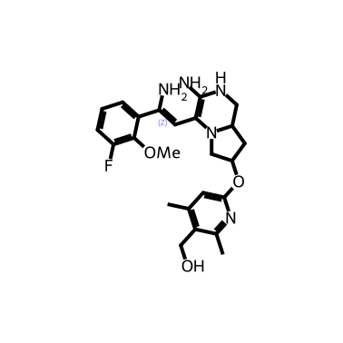 COc1c(F)cccc1/C(N)=C/C1=C(N)NCC2CC(Oc3cc(C)c(CO)c(C)n3)CN12